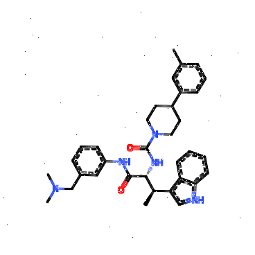 Cc1cccc(C2CCN(C(=O)N[C@@H](C(=O)Nc3cccc(CN(C)C)c3)[C@H](C)c3c[nH]c4ccccc34)CC2)c1